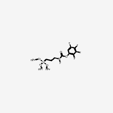 CCCO[Si](CCCN(F)C(=O)Oc1cc(F)c(F)c(F)c1F)(OCCC)OCCC